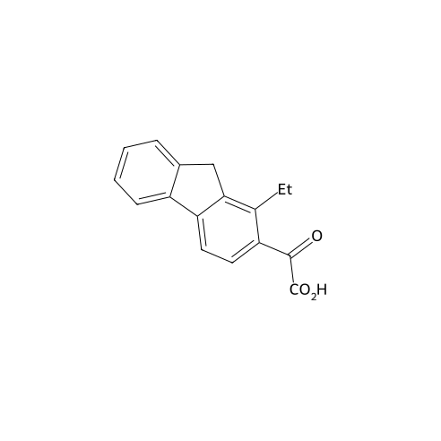 CCc1c(C(=O)C(=O)O)ccc2c1Cc1ccccc1-2